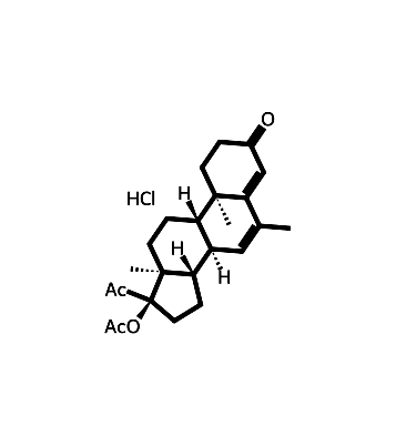 CC(=O)O[C@]1(C(C)=O)CC[C@H]2[C@@H]3C=C(C)C4=CC(=O)CC[C@]4(C)[C@H]3CC[C@@]21C.Cl